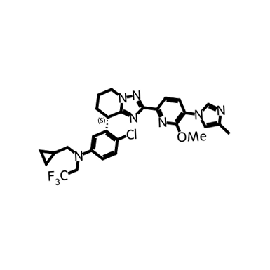 COc1nc(-c2nc3n(n2)CCC[C@H]3c2cc(N(CC3CC3)CC(F)(F)F)ccc2Cl)ccc1-n1cnc(C)c1